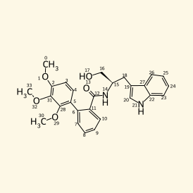 COc1ccc(-c2ccccc2C(=O)N[C@@H](CO)Cc2c[nH]c3ccccc23)c(OC)c1OC